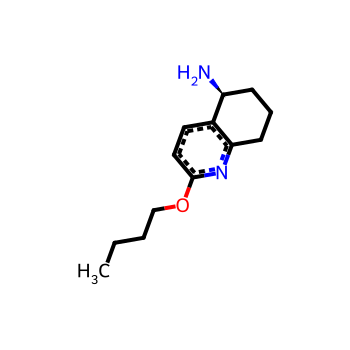 CCCCOc1ccc2c(n1)CCC[C@@H]2N